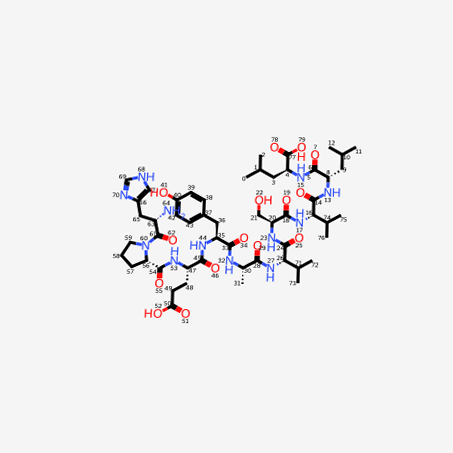 CC(C)C[C@H](NC(=O)[C@H](CC(C)C)NC(=O)[C@@H](NC(=O)[C@H](CO)NC(=O)[C@@H](NC(=O)[C@H](C)NC(=O)[C@H](Cc1ccc(O)cc1)NC(=O)[C@H](CCC(=O)O)NC(=O)[C@@H]1CCCN1C(=O)[C@@H](N)Cc1c[nH]cn1)C(C)C)C(C)C)C(=O)O